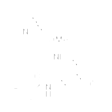 COc1c(Nc2cc(NC(=O)[C@H]3CC3F)nc3c2nc(C)n3C2CCCCO2)cccc1-c1ncn(C)n1